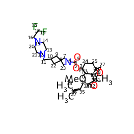 CO[C@@H]1[C@H](OC(=O)N2CC3(CC(CN4CCN(CC(F)F)CC4)C3)C2)CC[C@]2(CO2)[C@H]1[C@@]1(C)O[C@@H]1CC=C(C)C